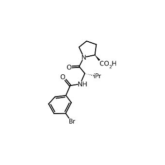 CC(C)[C@H](NC(=O)c1cccc(Br)c1)C(=O)N1CCC[C@H]1C(=O)O